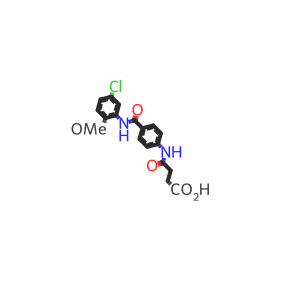 COc1ccc(Cl)cc1NC(=O)c1ccc(NC(=O)CCC(=O)O)cc1